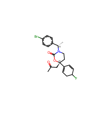 CC(=O)C[C@]1(C2=CCC(F)C=C2)CCN([C@@H](C)c2ccc(Br)cc2)C(=O)O1